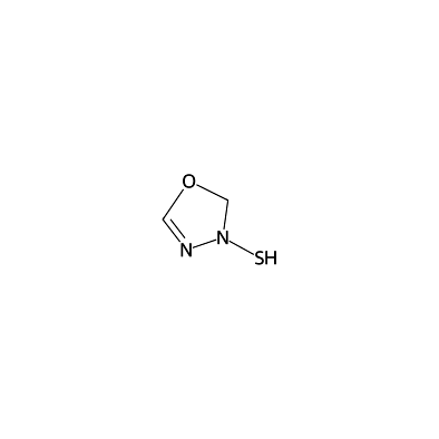 SN1COC=N1